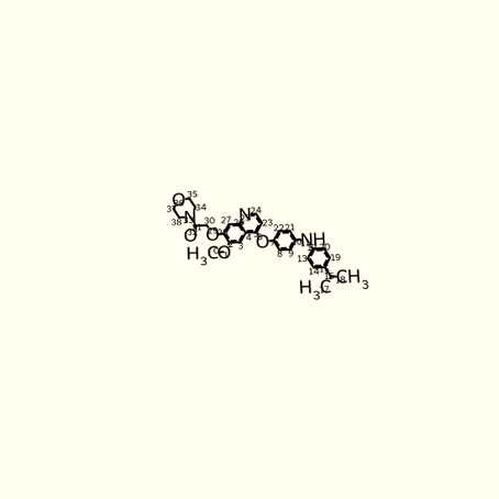 COc1cc2c(Oc3ccc(Nc4ccc(C(C)C)cc4)cc3)ccnc2cc1OCC(=O)N1CCOCC1